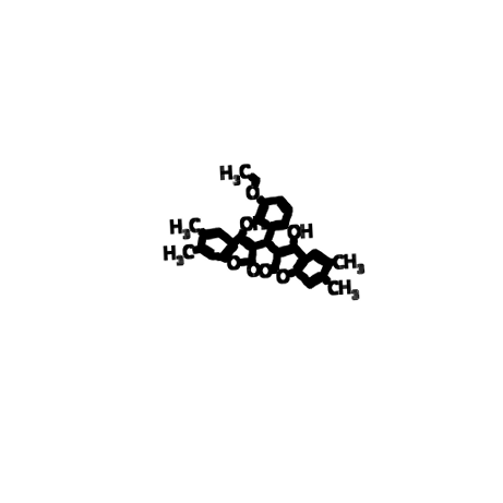 CCOc1cccc(C(c2c(O)c3cc(C)c(C)cc3oc2=O)c2c(O)c3cc(C)c(C)cc3oc2=O)c1